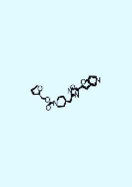 O=C(OC[C@H]1CCCO1)N1CCC(Cc2noc(-c3cc4cnccc4o3)n2)CC1